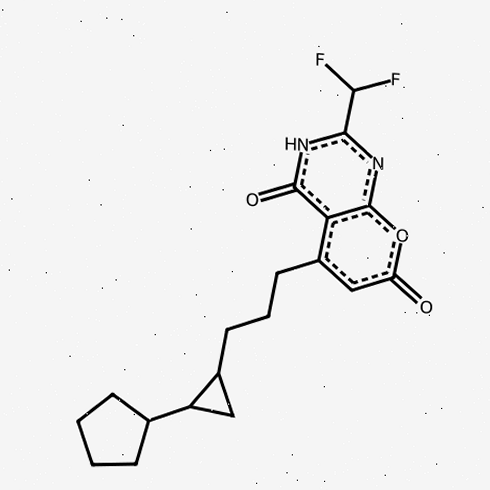 O=c1cc(CCCC2CC2C2CCCC2)c2c(=O)[nH]c(C(F)F)nc2o1